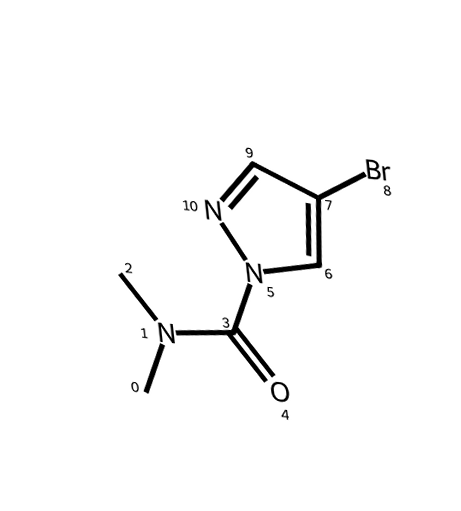 CN(C)C(=O)n1cc(Br)cn1